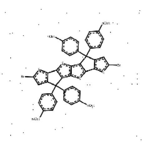 CCCCCCCCc1ccc(C2(c3ccc(CCCCCCCC)cc3)c3cc(Br)sc3-c3sc4c5c(sc4c32)-c2sc(Br)cc2C5(c2ccc(CCCCCCCC)cc2)c2ccc(CCCCCCCC)cc2)cc1